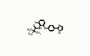 CC(C)(C)C(=O)Nc1c(F)cccc1Oc1ccc(-c2ncc[nH]2)cc1